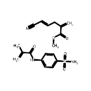 C=C(C)C(=O)Nc1ccc(S(N)(=O)=O)cc1.C=C(CC=CC#N)C(=O)OC